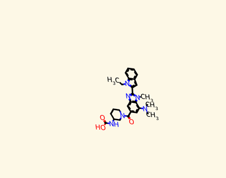 CCn1c(-c2nc3cc(C(=O)N4CCCC(NC(=O)O)C4)cc(N(C)C)c3n2C)cc2ccccc21